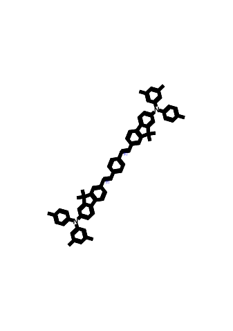 Cc1ccc(N(c2cc(C)cc(C)c2)c2ccc3c(c2)C(C)(C)c2cc(/C=C/c4ccc(/C=C/c5ccc6c(c5)C(C)(C)c5cc(N(c7ccc(C)cc7)c7cc(C)cc(C)c7)ccc5-6)cc4)ccc2-3)cc1